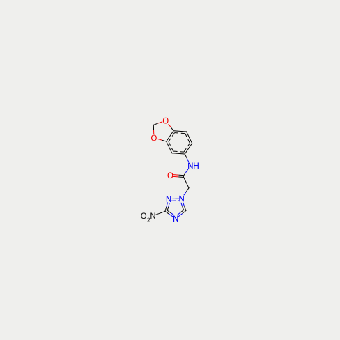 O=C(Cn1cnc([N+](=O)[O-])n1)Nc1ccc2c(c1)OCO2